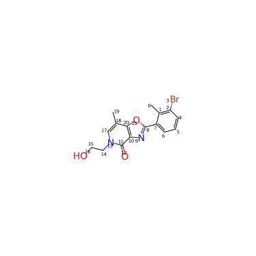 Cc1c(Br)cccc1-c1nc2c(=O)n(CCO)cc(C)c2o1